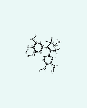 COc1ccc(C2=C(c3cc(OC)c(OC)c(OC)c3)C(C)(C)N(O)C2(C)C)cc1C=O